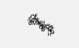 COc1ccc2ccc(F)c(N3CC(NC[C@@H]4CN(c5ccc6c(c5)NC(=O)CS6)C(=O)O4)C3)c2n1